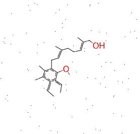 C/C=c1/c(C)c(C)c(C/C=C(\C)CC/C=C(\C)CO)c(OC)/c1=C/C